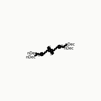 CCCCCCCCCCCCC(CCCCCCCCCC)COc1ccc(CCCCc2cc3c(cc(CCCCc4ccc(OCC(CCCCCCCCCC)CCCCCCCCCCCC)cc4)c4ccsc43)c3sccc23)cc1